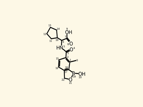 Cc1c(C(=O)NC(C(=O)O)C2CCCC2)ccc2c1B(O)OC2